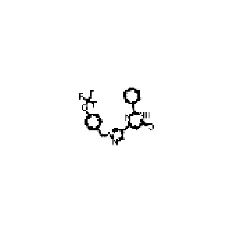 O=c1cc(-c2cnn(Cc3ccc(OC(F)(F)F)cc3)c2)nc(-c2ccccc2)[nH]1